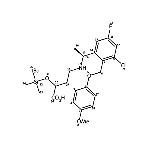 COc1ccc(OCc2c(Cl)cc(F)cc2[C@H](C)NCCC(O[Si](C)(C)C(C)(C)C)C(=O)O)cc1